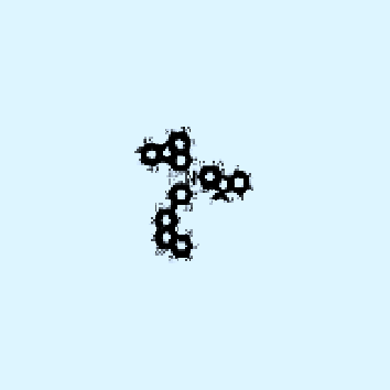 CC1(C)c2ccccc2-c2ccc(N(c3ccc(-c4ccc5ccc6ccccc6c5c4)cc3)c3cc4c5c(cccc5c3)-c3ccccc3-4)cc21